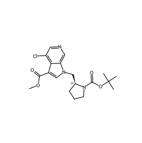 COC(=O)c1cn(C[C@@H]2CCCN2C(=O)OC(C)(C)C)c2cncc(Cl)c12